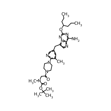 CCCC(CCC)Oc1nc(N)c2ncc(Cc3cnc(N4CCN(C(=O)CN(C)C(=O)OC(C)(C)C)CC4)c(C)c3)n2n1